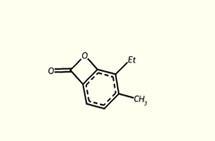 CCc1c(C)ccc2c1OC2=O